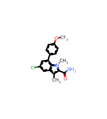 Cc1c(C(N)=O)n(C)c2c(-c3ccc(OC(F)(F)F)cc3)cc(Cl)cc12